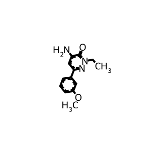 CCn1nc(-c2cccc(OC)c2)cc(N)c1=O